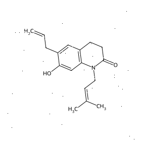 C=CCc1cc2c(cc1O)N(CC=C(C)C)C(=O)CC2